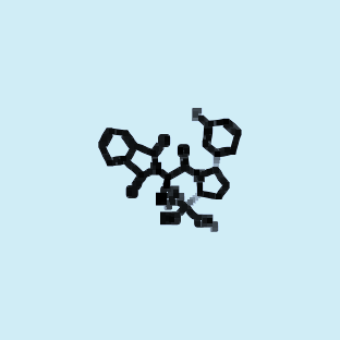 C[C@H](C(=O)N1[C@H](c2cccc(F)c2)CC[C@@H]1C(C)(C)O)N1C(=O)c2ccccc2C1=O